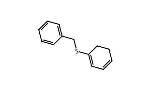 [CH]1C=CC=C(SCc2ccccc2)C1